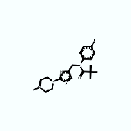 CN1CCN(c2nc(CN(C(=O)C(C)(C)C)c3ccc(F)cc3)cs2)CC1